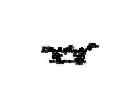 CCC(C(=O)N1CCCC[C@H]1C(=O)O[C@H](CCc1ccc(OC)c(OC)c1)c1cccc(OCC(=O)NCC(CNC(=O)COc2cccc([C@@H](CCc3ccc(OC)c(OC)c3)OC(=O)C3CCCCN3C(=O)[C@@H](CC)c3cc(OC)c(OC)c(OC)c3)c2)CN(C)C)c1)c1cc(OC)c(OC)c(OC)c1